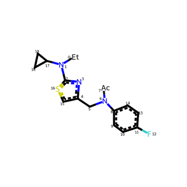 CCN(c1nc(CN(C(C)=O)c2ccc(F)cc2)cs1)C1CC1